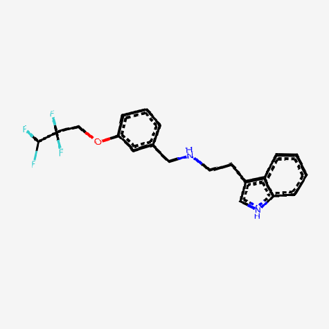 FC(F)C(F)(F)COc1cccc(CNCCc2c[nH]c3ccccc23)c1